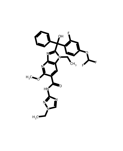 CCn1cnc(NC(=O)c2cc3c(nc2OC)nc(C(O)(c2ccccc2)c2ccc(OC(F)F)cc2F)n3CC)n1